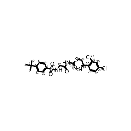 CC(C)(C)c1ccc(S(=O)(=O)NCC(=O)NC2=NN=C(c3ccc(Cl)cc3Cl)CS2)cc1